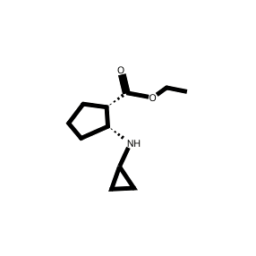 CCOC(=O)[C@H]1CCC[C@H]1NC1CC1